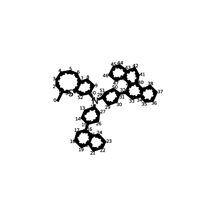 Cc1cccccc2ccc(N(c3ccc(-c4cccc5ccccc45)cc3)c3ccc(-c4cc5ccccc5c5ccc6ccccc6c45)cc3)cc2s1